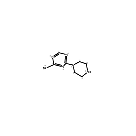 N#Cc1ncnc(N2CCNCC2)n1